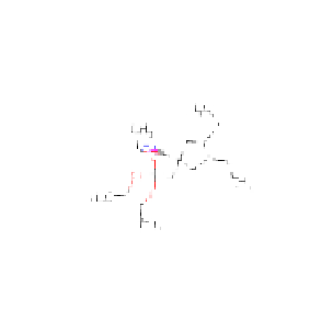 CCOC(CC1(C#N)CC(CC)C(CC)C1)(OCC)OCC